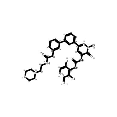 C=C/C(Cl)=C(NC(=O)Nc1cc(-c2cccc(-c3cccc(CC(=O)NCCN4CCOCC4)c3)c2)nn(CC)c1=O)\C(Cl)=C/N